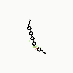 C=CCCc1ccc(OC(F)(F)c2ccc(-c3ccc(-c4ccc(-c5ccc(CCCCC)cc5)cc4F)cc3F)cc2)cc1F